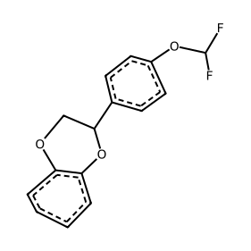 FC(F)Oc1ccc(C2COc3ccccc3O2)cc1